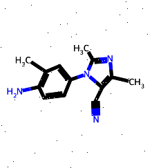 Cc1cc(-n2c(C)nc(C)c2C#N)ccc1N